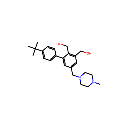 CN1CCN(Cc2cc(CO)c(CO)c(-c3ccc(C(C)(C)C)cc3)c2)CC1